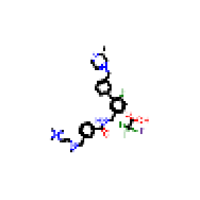 C[C@H]1CN(Cc2cccc(-c3cc(CNC(=O)c4cccc(CN(C)CC[N+](C)(C)C)c4)ccc3F)c2)CCN1.O=C(O)C(F)(F)F.[I-]